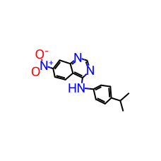 CC(C)c1ccc(Nc2ncnc3cc([N+](=O)[O-])ccc23)cc1